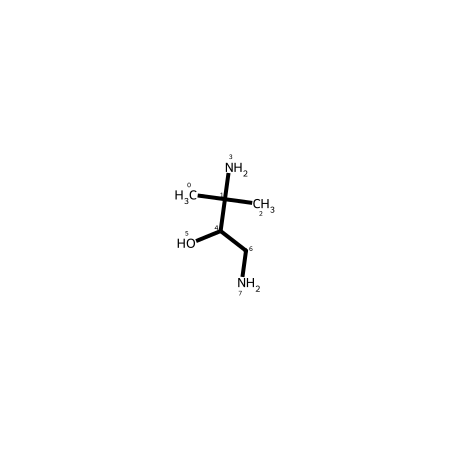 CC(C)(N)C(O)CN